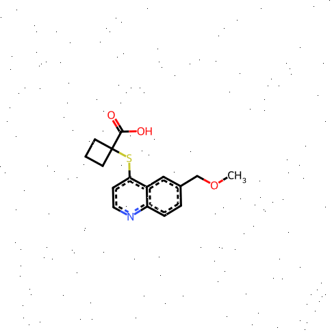 COCc1ccc2nccc(SC3(C(=O)O)CCC3)c2c1